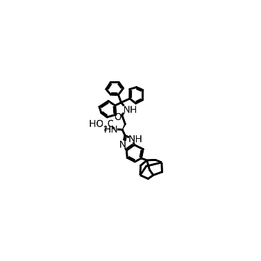 O=C(O)N[C@@H](CC(=O)NC(c1ccccc1)(c1ccccc1)c1ccccc1)c1nc2ccc(C34CC5CC(CC(C5)C3)C4)cc2[nH]1